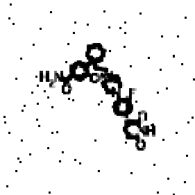 COc1cc(C(N)=O)ccc1C1(CCN2CCN(c3ccc([C@H]4CCC(=O)NC4=O)cc3F)CC2)CCCCC1